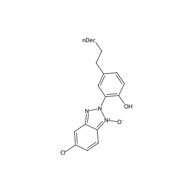 CCCCCCCCCCCCc1ccc(O)c(-n2nc3cc(Cl)ccc3[n+]2[O-])c1